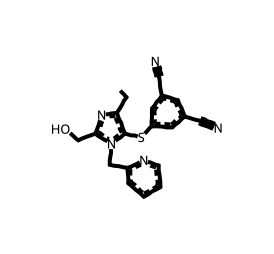 CCc1nc(CO)n(Cc2ccccn2)c1Sc1cc(C#N)cc(C#N)c1